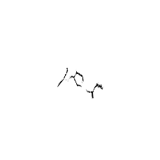 CCC(C)N1CC(=O)C(NC(C)C)C1